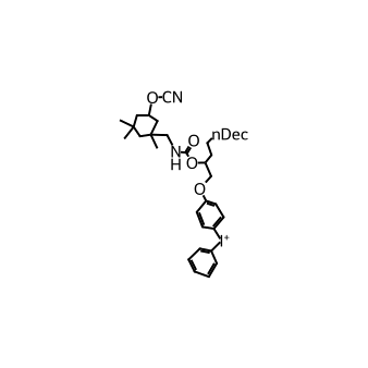 CCCCCCCCCCCCC(COc1ccc([I+]c2ccccc2)cc1)OC(=O)NCC1(C)CC(OC#N)CC(C)(C)C1